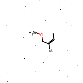 CC=C(CC)CO[SiH3]